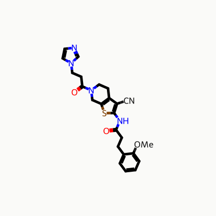 COc1ccccc1CCC(=O)Nc1sc2c(c1C#N)CCN(C(=O)CCn1ccnc1)C2